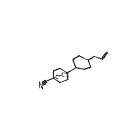 C=CCC1CCC(C23CCC(C#N)(CC2)CC3)CC1